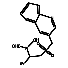 CC(C)C(CS(=O)(=O)Cc1cnc2ccccc2c1)N(O)C=O